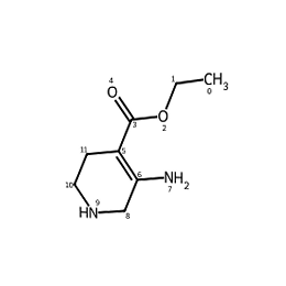 CCOC(=O)C1=C(N)CNCC1